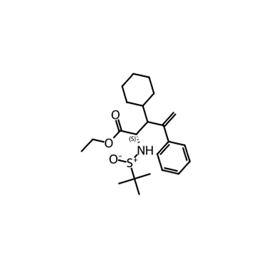 C=C(c1ccccc1)C(C1CCCCC1)[C@H](N[S+]([O-])C(C)(C)C)C(=O)OCC